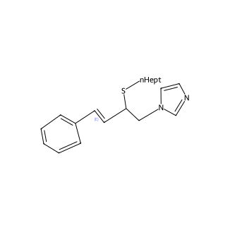 CCCCCCCSC(/C=C/c1ccccc1)Cn1ccnc1